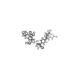 CCCCC[C@H](O[Si](C)(C)C(C)(C)C)c1ccc(N2C(=O)CC[C@@H]2CCC[C@@]2(CO)C=C(C[C@H]3COCO3)C(C)(C(=O)OC)S2)cc1